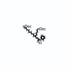 CCCCCCCCCCCCCCCCCCCC(CCCCCCCCCCCCCC)CCC(C)Nc1ccccc1